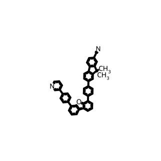 CC1(C)c2cc(C#N)ccc2-c2ccc(-c3ccc(-c4cccc5c4oc4c(-c6ccc(-c7cccnc7)cc6)cccc45)cc3)cc21